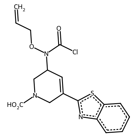 C=CCON(C(=O)Cl)C1C=C(c2nc3ccccc3s2)CN(C(=O)O)C1